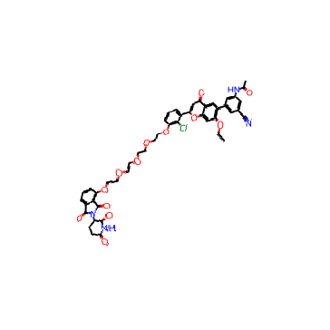 CCOc1cc2oc(-c3cccc(OCCOCCOCCOCCOc4cccc5c4C(=O)N(C4CCC(=O)NC4=O)C5=O)c3Cl)cc(=O)c2cc1-c1cc(C#N)cc(NC(C)=O)c1